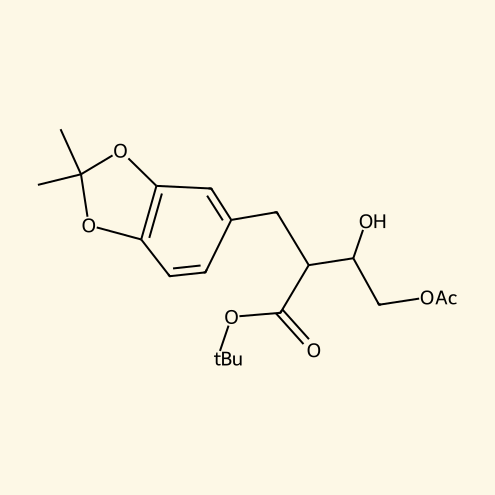 CC(=O)OCC(O)C(Cc1ccc2c(c1)OC(C)(C)O2)C(=O)OC(C)(C)C